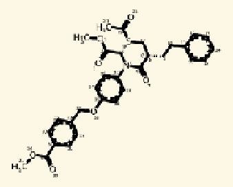 COC(=O)CN(C(=O)[C@@H](CCc1ccccc1)CSC(C)=O)c1ccc(OCc2ccc(C(=O)OC)cc2)cc1